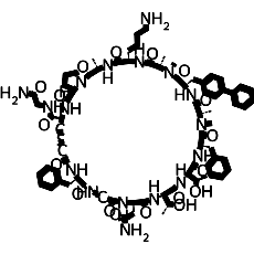 C[C@@H]1NC(=O)[C@H](CCCCN)NC(=O)[C@H](C)N(C)C(=O)[C@H](Cc2ccc(-c3ccccc3)cc2)NC(=O)[C@H](C)N(C)C(=O)[C@H](Cc2ccccc2)NC(=O)[C@H]([C@@H](C)O)NC(=O)[C@H]([C@@H](C)O)NC(=O)[C@H](CC(N)=O)NC(=O)CNC(=O)[C@H](Cc2ccccc2)NC(=O)CSC[C@@H](C(=O)NCC(N)=O)NC(=O)[C@@H]2CCCN2C1=O